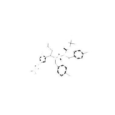 CCCC(c1cn(S(=O)(=O)N(C)C)cn1)N(Cc1ccc(Br)cc1)S(=O)(=O)N(Cc1ccc(Br)cc1)C(=O)OC(C)(C)C